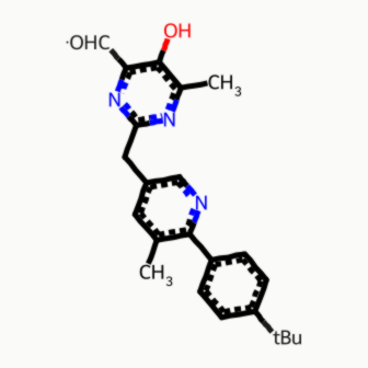 Cc1cc(Cc2nc(C)c(O)c([C]=O)n2)cnc1-c1ccc(C(C)(C)C)cc1